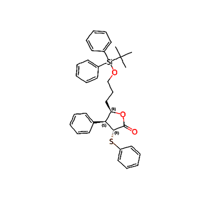 CC(C)(C)[Si](OCCC[C@H]1OC(=O)[C@H](Sc2ccccc2)[C@H]1c1ccccc1)(c1ccccc1)c1ccccc1